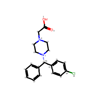 O=C(O)CN1CCN([C@@H](c2ccccc2)c2ccc(Cl)cc2)CC1